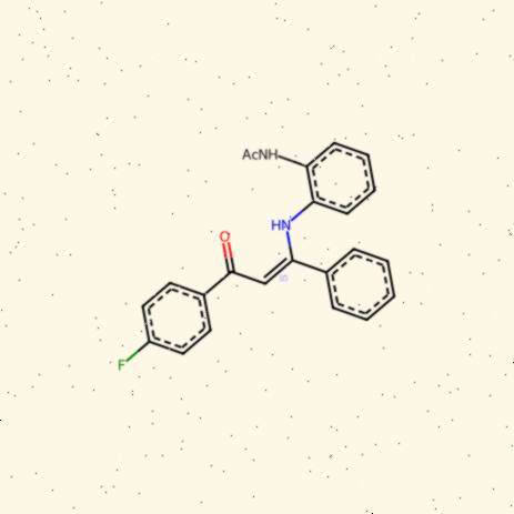 CC(=O)Nc1ccccc1N/C(=C\C(=O)c1ccc(F)cc1)c1ccccc1